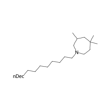 CCCCCCCCCCCCCCCCCCN1CCC(C)(C)CC(C)C1